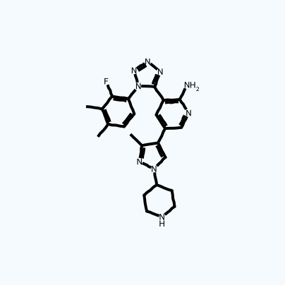 Cc1ccc(-n2nnnc2-c2cc(-c3cn(C4CCNCC4)nc3C)cnc2N)c(F)c1C